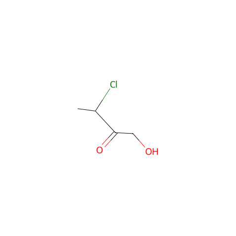 CC(Cl)C(=O)CO